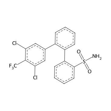 NS(=O)(=O)c1ccccc1-c1ccccc1-c1cc(Cl)c(C(F)(F)F)c(Cl)c1